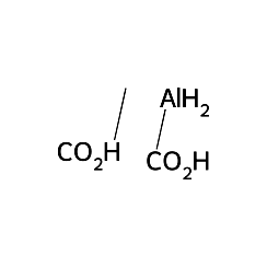 CC(=O)O.O=[C](O)[AlH2]